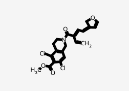 C=C/C(=C\C=C1\C=COC1)C(=O)N1CCc2c(cc(Cl)c(C(=O)OC)c2Cl)C1